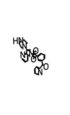 O=C(c1cccc(S(=O)(=O)n2cc(N3CCNCC3)c3ncccc32)c1)c1ccccn1